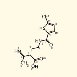 CC(=N)[C@H](CCNC(=O)c1ccc(Cl)s1)C(=O)O